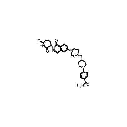 NC(=O)c1ccc(N2CCC(CN3CCN(c4ccc5c(=O)n([C@H]6CCC(=O)NC6=O)ncc5c4)CC3)CC2)cc1